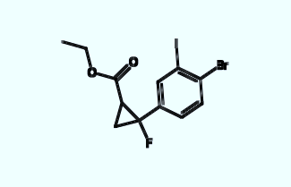 CCOC(=O)C1CC1(F)c1ccc(Br)c(I)c1